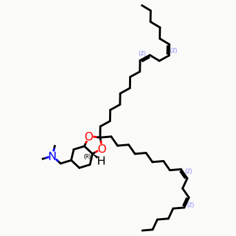 CCCCC/C=C\C/C=C\CCCCCCCCC1(CCCCCCCC/C=C\C/C=C\CCCCC)OC2CC(CN(C)C)CC[C@H]2O1